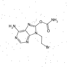 NC(=O)Oc1nc2c(N)ncnc2n1CCBr